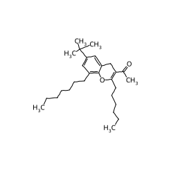 CCCCCCCc1cc(C(C)(C)C)cc2c1OC(CCCCCC)=C(C(C)=O)C2